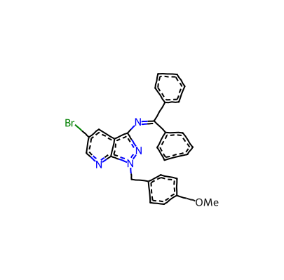 COc1ccc(Cn2nc(N=C(c3ccccc3)c3ccccc3)c3cc(Br)cnc32)cc1